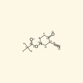 CC(C)(C)C(=O)ON1CCC(=O)C(C#N)C1